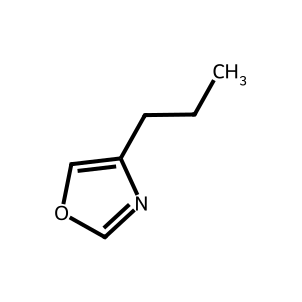 CCCc1cocn1